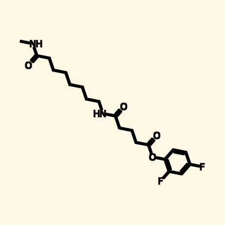 CNC(=O)CCCCCCCNC(=O)CCCC(=O)Oc1ccc(F)cc1F